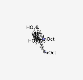 CCCCCCCC/C=C\CCCCCCCC(=O)O.CCCCCCCC/C=C\CCCCCCCC(=O)O.COC1O[C@H](CO)[C@@H](O)[C@H](O)[C@H]1N